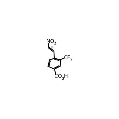 O=C(O)c1ccc(/C=C/[N+](=O)[O-])c(C(F)(F)F)c1